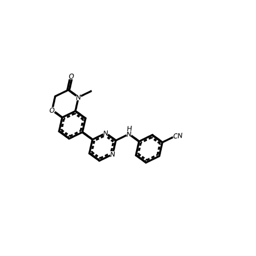 CN1C(=O)COc2ccc(-c3ccnc(Nc4cccc(C#N)c4)n3)cc21